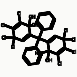 OC1(O)C(C(C2=CC(Cl)(Cl)C(Cl)=C(Cl)C2(O)O)(c2ccccc2)c2ccccc2)=CC(Cl)(Cl)C(Cl)=C1Cl